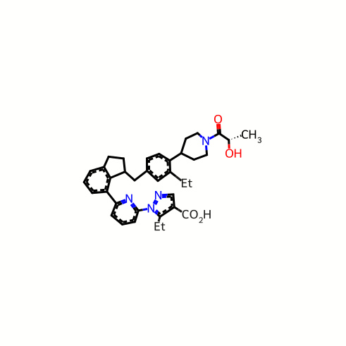 CCc1cc(CC2CCc3cccc(-c4cccc(-n5ncc(C(=O)O)c5CC)n4)c32)ccc1C1CCN(C(=O)[C@H](C)O)CC1